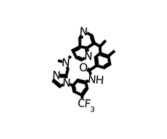 Cc1ccc(C(=O)Nc2cc(-n3ccnc3CN(C)C)cc(C(F)(F)F)c2)cc1C(C)c1cncc2cccnc12